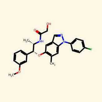 COc1cccc([C@@H](Oc2cc3cnn(-c4ccc(F)cc4)c3cc2C)[C@H](C)NC(=O)CO)c1